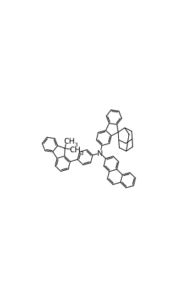 CC1(C)c2ccccc2-c2cccc(-c3ccc(N(c4ccc5c(c4)C4(c6ccccc6-5)C5CC6CC(C5)CC4C6)c4ccc5c(ccc6ccccc65)c4)cc3)c21